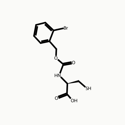 O=C(N[C@@H](CS)C(=O)O)OCc1ccccc1Br